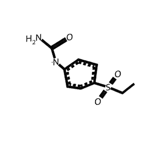 CCS(=O)(=O)c1ccc([N]C(N)=O)cc1